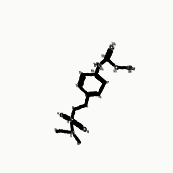 CN(C)S(=O)(=O)CCc1ccc(NC(=O)OC(C)(C)C)cc1